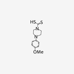 COc1ccc(N2CCN(C(=S)S)CC2)cc1